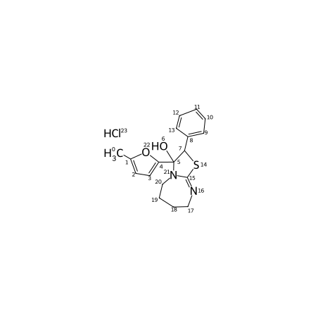 Cc1ccc(C2(O)C(c3ccccc3)SC3=NCCCCN32)o1.Cl